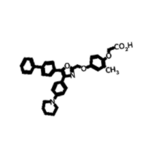 Cc1cc(OCc2nc(-c3ccc(N4CCCCC4)cc3)c(-c3ccc(-c4ccccc4)cc3)o2)ccc1OCC(=O)O